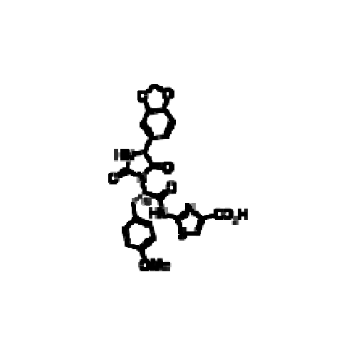 COc1ccc(C[C@@H](C(=O)Nc2nc(C(=O)O)cs2)N2C(=O)NC(c3ccc4c(c3)OCO4)C2=O)cc1